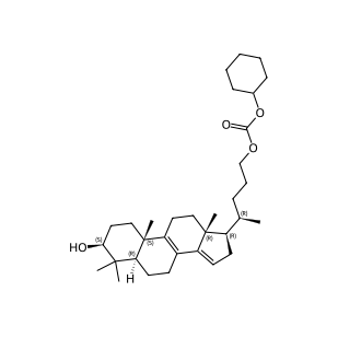 C[C@H](CCCOC(=O)OC1CCCCC1)[C@H]1CC=C2C3=C(CC[C@@]21C)[C@@]1(C)CC[C@H](O)C(C)(C)[C@@H]1CC3